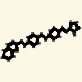 C(=C\c1nnn[nH]1)/c1ccc(OCc2ccc(OCc3ccc4ccccc4n3)cc2)cc1